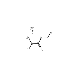 CCOC(=O)C(C)O.[F-].[Na+]